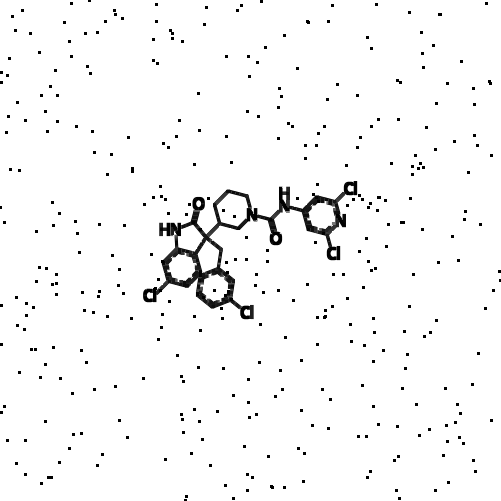 O=C(Nc1cc(Cl)nc(Cl)c1)N1CCCC(C2(Cc3cccc(Cl)c3)C(=O)Nc3cc(Cl)ccc32)C1